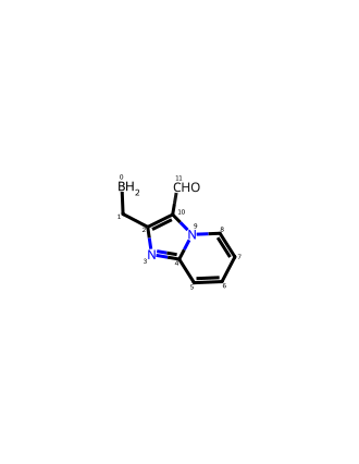 BCc1nc2ccccn2c1C=O